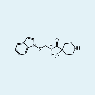 NC1(C(=O)NCSn2ccc3ccccc32)CCNCC1